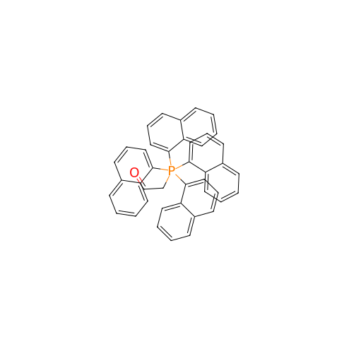 O=CCP(c1cccc2ccccc12)(c1cccc2ccccc12)(c1cccc2ccccc12)c1cccc2ccccc12